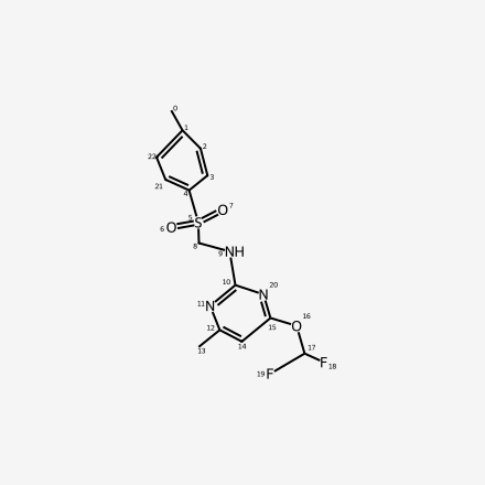 Cc1ccc(S(=O)(=O)CNc2nc(C)cc(OC(F)F)n2)cc1